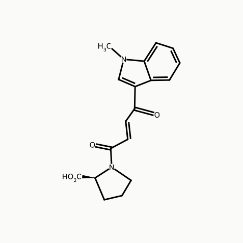 Cn1cc(C(=O)/C=C/C(=O)N2CCC[C@H]2C(=O)O)c2ccccc21